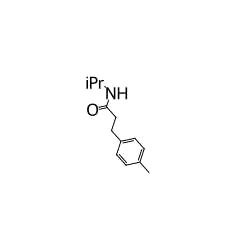 Cc1ccc(CCC(=O)NC(C)C)cc1